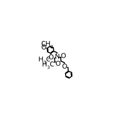 COc1ccc(CN2CC(C)OC(COCc3ccccc3)C2=O)c(OC)c1